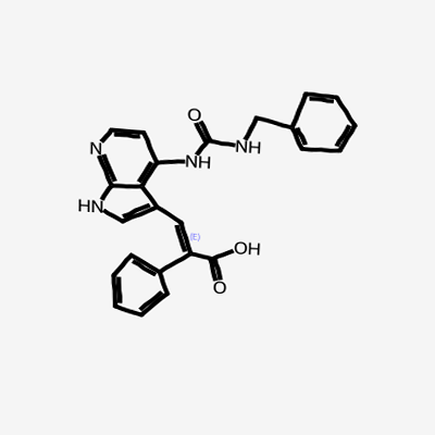 O=C(NCc1ccccc1)Nc1ccnc2[nH]cc(/C=C(/C(=O)O)c3ccccc3)c12